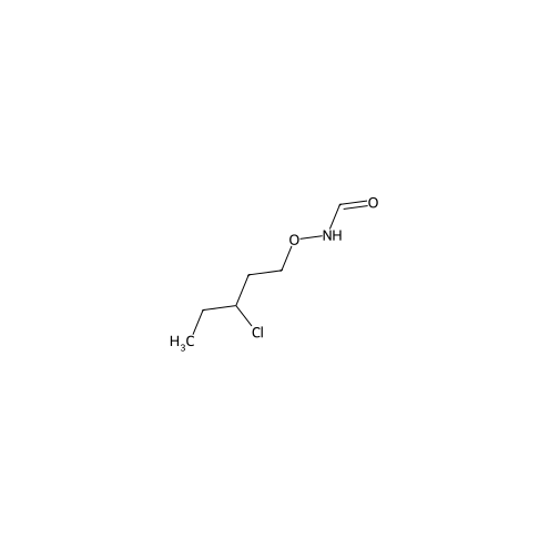 CCC(Cl)CCONC=O